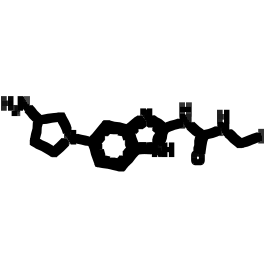 NC1CCN(c2ccc3[nH]c(NC(=O)NCI)nc3c2)C1